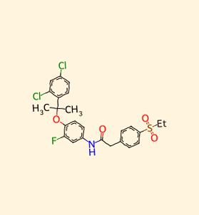 CCS(=O)(=O)c1ccc(CC(=O)Nc2ccc(OC(C)(C)c3ccc(Cl)cc3Cl)c(F)c2)cc1